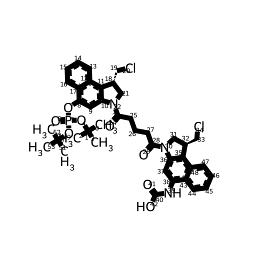 CC(C)(C)OP(=O)(Oc1cc2c(c3ccccc13)[C@H](CCl)CN2C(=O)CCCC(=O)N1C[C@@H](CCl)c2c1cc(NC(=O)O)c1ccccc21)OC(C)(C)C